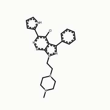 CN1CCN(CCn2nc(-c3ccccc3)c3c(Cl)c(-c4ccc[nH]4)nnc32)CC1